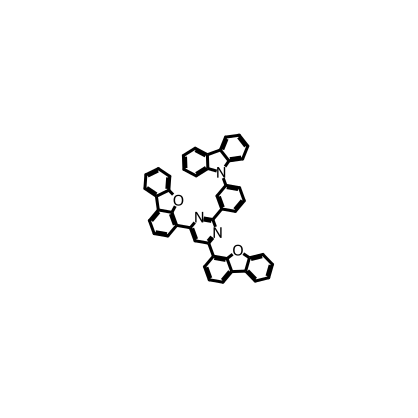 c1cc(-c2nc(-c3cccc4c3oc3ccccc34)cc(-c3cccc4c3oc3ccccc34)n2)cc(-n2c3ccccc3c3ccccc32)c1